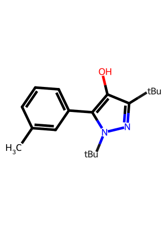 Cc1cccc(-c2c(O)c(C(C)(C)C)nn2C(C)(C)C)c1